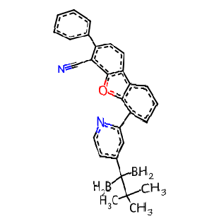 BC(B)(c1ccnc(-c2cccc3c2oc2c(C#N)c(-c4ccccc4)ccc23)c1)C(C)(C)C